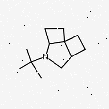 CC(C)(C)N1CC2CCC23CCC13